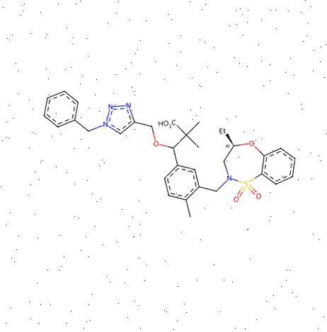 CC[C@@H]1CN(Cc2cc(C(OCc3cn(Cc4ccccc4)nn3)C(C)(C)C(=O)O)ccc2C)S(=O)(=O)c2ccccc2O1